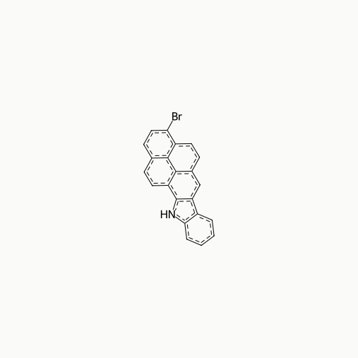 Brc1ccc2ccc3c4[nH]c5ccccc5c4cc4ccc1c2c43